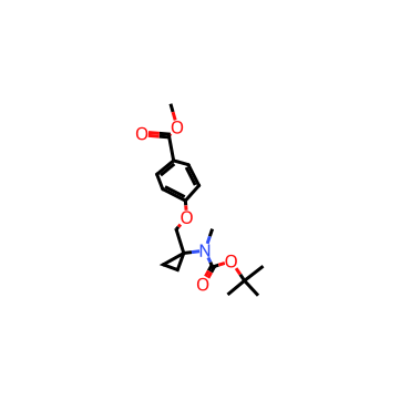 COC(=O)c1ccc(OCC2(N(C)C(=O)OC(C)(C)C)CC2)cc1